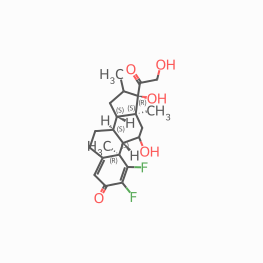 CC1C[C@H]2[C@@H]3CCC4=CC(=O)C(F)=C(F)[C@]4(C)[C@H]3C(O)C[C@]2(C)[C@@]1(O)C(=O)CO